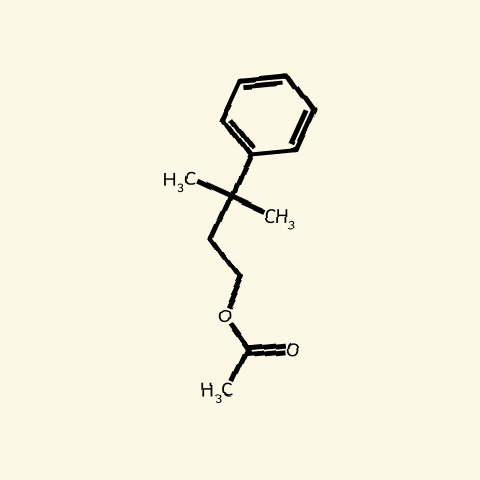 CC(=O)OCCC(C)(C)c1ccccc1